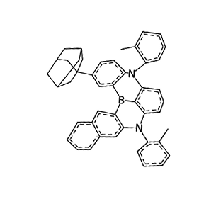 Cc1ccccc1N1c2ccc(C34CC5CC(CC(C5)C3)C4)cc2B2c3cc4ccccc4cc3N(c3ccccc3C)c3cccc1c32